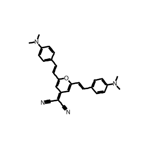 CN(C)c1ccc(C=CC2=CC(=C(C#N)C#N)C=C(C=Cc3ccc(N(C)C)cc3)O2)cc1